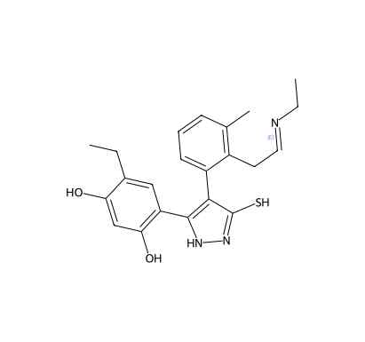 CC/N=C/Cc1c(C)cccc1-c1c(S)n[nH]c1-c1cc(CC)c(O)cc1O